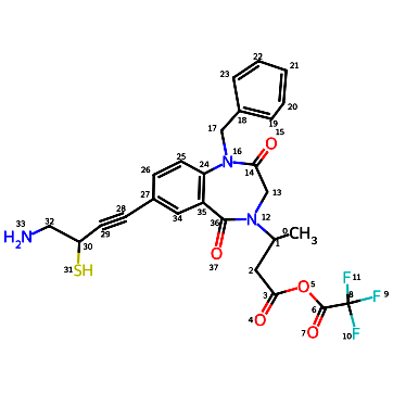 CC(CC(=O)OC(=O)C(F)(F)F)N1CC(=O)N(Cc2ccccc2)c2ccc(C#CC(S)CN)cc2C1=O